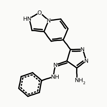 NC1=NN=C(C2=CC3=CNON3C=C2)C1=NNc1ccccc1